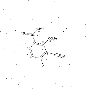 C#Cc1c(C)ccc(C(=O)OC)c1C(=O)O